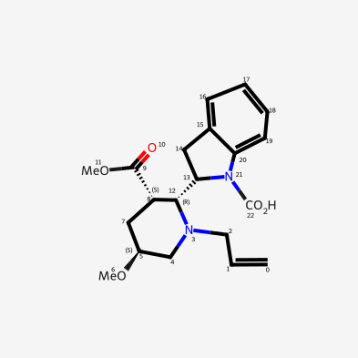 C=CCN1C[C@@H](OC)C[C@H](C(=O)OC)[C@@H]1C1Cc2ccccc2N1C(=O)O